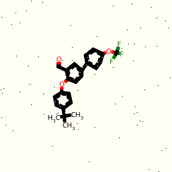 CC(C)(C)c1ccc(Oc2ccc(-c3ccc(OC(F)(F)F)cc3)cc2C=O)cc1